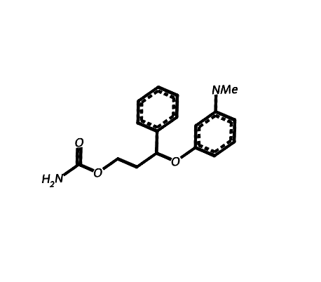 CNc1cccc(OC(CCOC(N)=O)c2ccccc2)c1